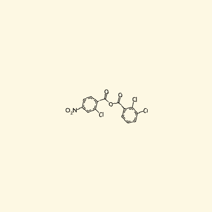 O=C(OC(=O)c1cccc(Cl)c1Cl)c1ccc([N+](=O)[O-])cc1Cl